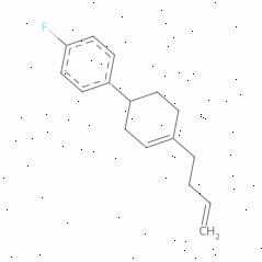 C=CCCC1=CCC(c2ccc(F)cc2)CC1